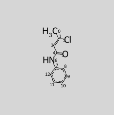 C/C(Cl)=C/C(=O)Nc1ccccc1